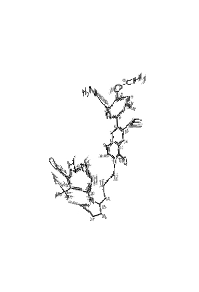 COc1cnc(-c2cc3ccn(CCCC4CCCN4c4cn[nH]c(=O)c4C(F)(F)F)c(=O)c3cc2F)nc1N